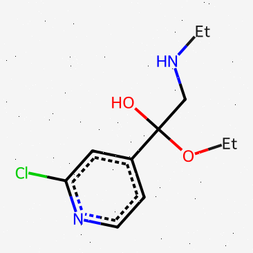 CCNCC(O)(OCC)c1ccnc(Cl)c1